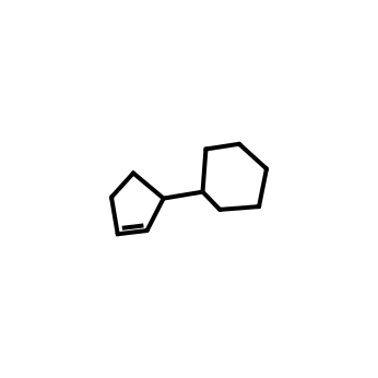 C1=CC(C2CCCCC2)CC1